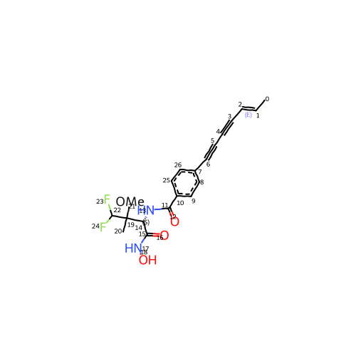 C/C=C/C#CC#Cc1ccc(C(=O)N[C@H](C(=O)NO)C(C)(OC)C(F)F)cc1